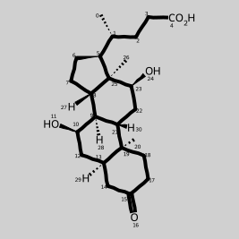 C[C@H](CCC(=O)O)[C@@H]1CC[C@H]2[C@@H]3[C@H](O)C[C@@H]4CC(=O)CC[C@]4(C)[C@H]3C[C@H](O)[C@@]21C